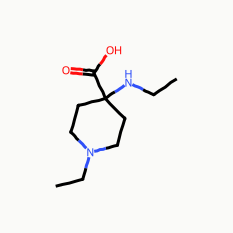 CCNC1(C(=O)O)CCN(CC)CC1